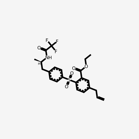 C=CCc1ccc(S(=O)(=O)c2ccc(C[C@@H](C)NC(=O)C(F)(F)F)cc2)c(C(=O)OCC)c1